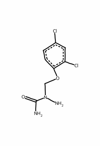 NC(=O)N(N)COc1ccc(Cl)cc1Cl